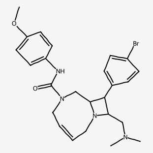 COc1ccc(NC(=O)N2CC=CCN3C(CN(C)C)C(c4ccc(Br)cc4)C3C2)cc1